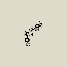 CCc1ccc(-c2nnc(SCC(=O)Nc3ccc4ncsc4c3)[nH]2)cc1